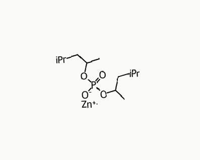 CC(C)CC(C)OP(=O)([O-])OC(C)CC(C)C.[Zn+]